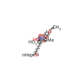 CC#CCOc1ccc(C[C@H](NC(=O)[C@@H](/C=C/CCCCCCC(=O)CCCCCCC)C(O)(CCO)C(=O)O)C(=O)OC)cc1